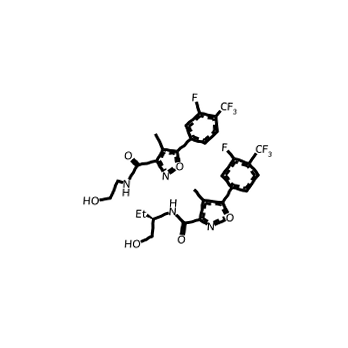 CC[C@H](CO)NC(=O)c1noc(-c2ccc(C(F)(F)F)c(F)c2)c1C.Cc1c(C(=O)NCCO)noc1-c1ccc(C(F)(F)F)c(F)c1